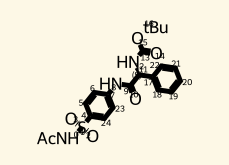 CC(=O)NS(=O)(=O)c1ccc(NC(=O)[C@@H](NC(=O)OC(C)(C)C)c2ccccc2)cc1